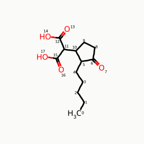 CCCCCC1C(=O)CCC1C(C(=O)O)C(=O)O